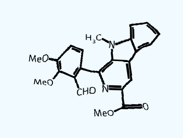 COC(=O)c1cc2c3ccccc3n(C)c2c(-c2ccc(OC)c(OC)c2C=O)n1